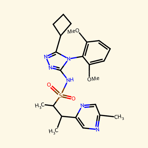 COc1cccc(OC)c1-n1c(NS(=O)(=O)C(C)C(C)c2cnc(C)cn2)nnc1C1CCC1